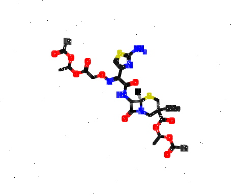 CCC(=O)OC(C)OC(=O)CON=C(C(=O)NC1C(=O)N2CC(SC)(C(=O)OC(C)OC(=O)CC)CS[C@H]12)c1csc(N)n1